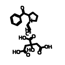 CC=CN1CCCC1C(=O)c1ccccc1.O=C(O)CC(O)(CC(=O)O)C(=O)O